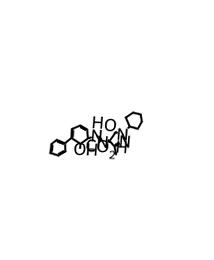 CC1=NN(C2CCCCC2)C(=O)C1=NNC1(C(=O)O)C=CC=C(c2ccccc2)C1O